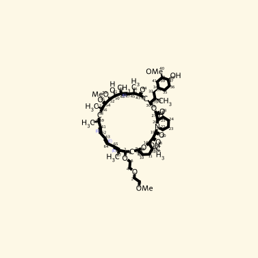 COCCOCCOC1C[C@@H]2CC[C@@H](C)[C@@](O)(O2)C(=O)C(=O)N2CCCC[C@H]2C(=O)O[C@H]([C@H](C)C[C@@H]2CC[C@@H](O)[C@H](OC)C2)CC(=O)[C@H](C)/C=C(\C)[C@@H](O)[C@@H](OC)C(=O)[C@H](C)C[C@H](C)/C=C/C=C/C=C/1C